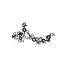 CNc1cc(-c2ccc3cc(C#N)cnn23)ncc1-c1nnc(C2CCC(NC(=O)CCCOc3cc(-c4scnc4C)ccc3CNC(=O)[C@@H]3C[C@@H](O)CN3C(=O)C(NC(=O)C3(F)CC3)C(C)(C)C)CC2)s1